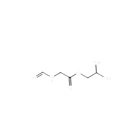 CC(C)COC(=O)COC=O